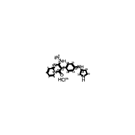 CC(C)Nc1nc2ccccn2c(=O)c1-c1ccc(N[C@@H]2CCNC2)cc1.Cl